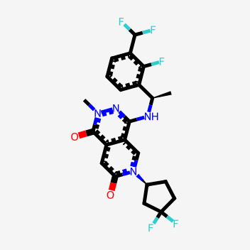 C[C@@H](Nc1nn(C)c(=O)c2cc(=O)n([C@H]3CCC(F)(F)C3)cc12)c1cccc(C(F)F)c1F